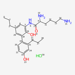 CCCc1cc(NC(=O)C(N)CCCCN)c(O)c(-c2ccc(O)cc2CCC)c1.Cl